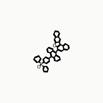 O=P(c1ccccc1)(c1ccccc1)c1ccc(-c2c3ccccc3c(-c3cc4ccccc4c4c3oc3cc5ccccc5cc34)c3ccccc23)cc1